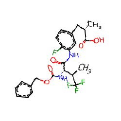 C[C@H]([C@H](NC(=O)OCc1ccccc1)C(=O)Nc1cc(C[C@H](C)C(=O)O)ccc1F)C(F)(F)F